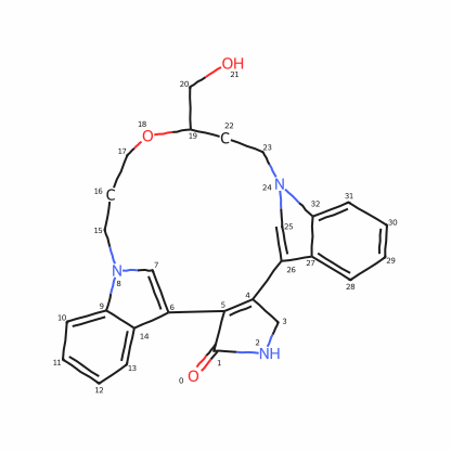 O=C1NCC2=C1c1cn(c3ccccc13)CCCOC(CO)CCn1cc2c2ccccc21